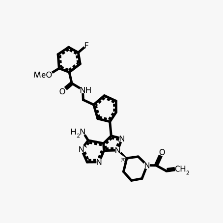 C=CC(=O)N1CCC[C@@H](n2nc(-c3cccc(CNC(=O)c4cc(F)ccc4OC)c3)c3c(N)ncnc32)C1